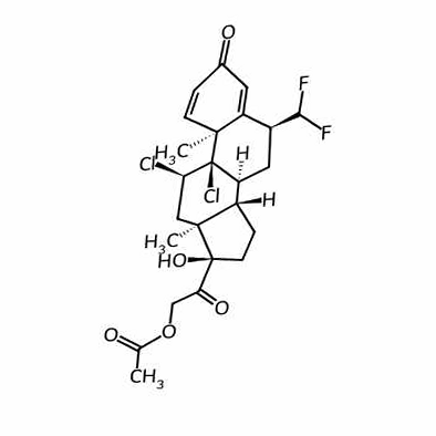 CC(=O)OCC(=O)[C@@]1(O)CC[C@H]2[C@@H]3C[C@H](C(F)F)C4=CC(=O)C=C[C@]4(C)[C@@]3(Cl)[C@H](Cl)C[C@@]21C